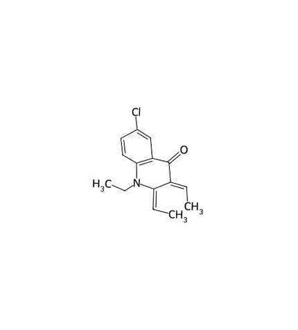 C/C=c1/c(=O)c2cc(Cl)ccc2n(CC)/c1=C/C